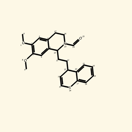 COc1cc2c(cc1OC)C(CCC1C=CSc3ccccc31)N(C=O)CC2